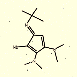 CN(C)C1=CC(=NC(C)(C)C)[C]([Nb])=C1N(C)C